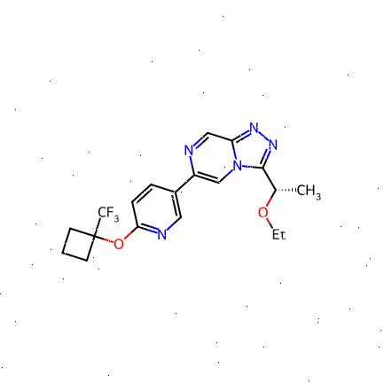 CCO[C@@H](C)c1nnc2cnc(-c3ccc(OC4(C(F)(F)F)CCC4)nc3)cn12